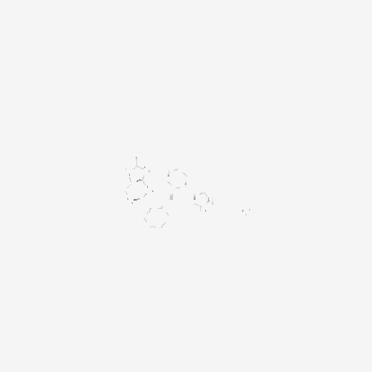 COCCn1cc(-c2ccc(Cn3c(=O)n(C)c4cnc(-c5ccccc5C(C)C)nc43)cc2)cn1